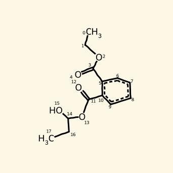 CCOC(=O)c1ccccc1C(=O)OC(O)CC